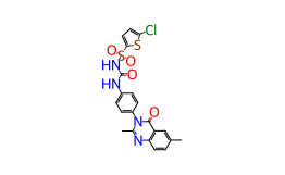 Cc1ccc2nc(C)n(-c3ccc(NC(=O)NS(=O)(=O)c4ccc(Cl)s4)cc3)c(=O)c2c1